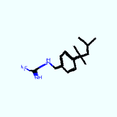 CC(C)CC(C)(C)c1ccc(CNC(=N)N)cc1